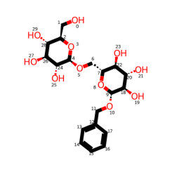 OC[C@H]1O[C@@H](OC[C@H]2O[C@@H](OCc3ccccc3)[C@H](O)[C@@H](O)[C@@H]2O)[C@H](O)[C@@H](O)[C@@H]1O